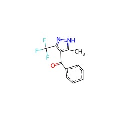 Cc1[nH]nc(C(F)(F)F)c1C(=O)c1ccccc1